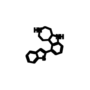 c1cc2c(c(-c3cc4ccccc4s3)c1)C1CCNCCC1N2